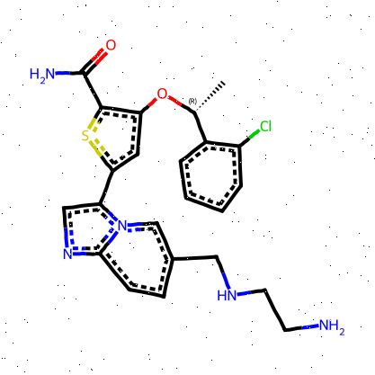 C[C@@H](Oc1cc(-c2cnc3ccc(CNCCN)cn23)sc1C(N)=O)c1ccccc1Cl